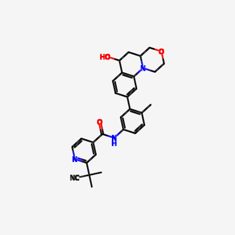 Cc1ccc(NC(=O)c2ccnc(C(C)(C)C#N)c2)cc1-c1ccc2c(c1)N1CCOCC1CC2O